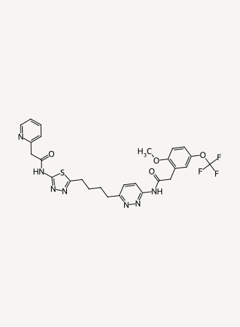 COc1ccc(OC(F)(F)F)cc1CC(=O)Nc1ccc(CCCCc2nnc(NC(=O)Cc3ccccn3)s2)nn1